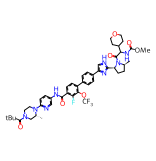 COC(=O)NC(C(=O)N1[C@@H](C)CC[C@H]1c1nc(-c2ccc(-c3ccc(C(=O)Nc4ccc(N5CCN(C(=O)C(C)(C)C)C[C@H]5C)nc4)c(F)c3OC(F)(F)F)cc2)c[nH]1)C1CCOCC1